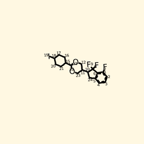 Fc1cccc2c1C(F)(F)C(C1COC(C3CCC(I)CC3)OC1)C2